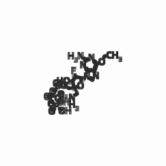 CCOc1nc(N)nc2c1ncn2[C@@H]1O[C@](CN)(COP(=O)(O)OP(=O)(O)OP(=O)(O)O)[C@@H](O)[C@H]1F